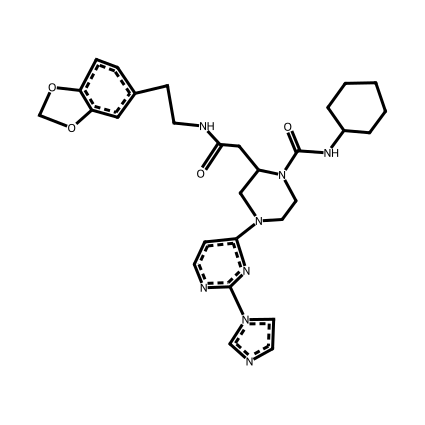 O=C(CC1CN(c2ccnc(-n3ccnc3)n2)CCN1C(=O)NC1CCCCC1)NCCc1ccc2c(c1)OCO2